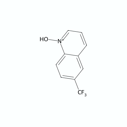 O[n+]1cccc2cc(C(F)(F)F)ccc21